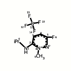 CC(C)Nc1ccc(F)n[n+]1C.F[B-](F)(F)F